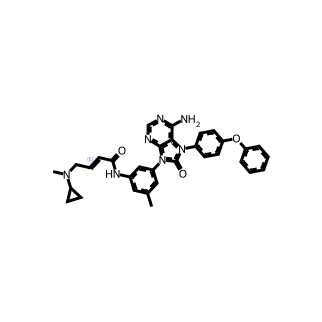 Cc1cc(NC(=O)/C=C/CN(C)C2CC2)cc(-n2c(=O)n(-c3ccc(Oc4ccccc4)cc3)c3c(N)ncnc32)c1